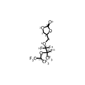 O=C1OCC(COC(F)(F)C(F)(OC(C(F)(F)F)C(F)(F)F)C(F)(F)F)O1